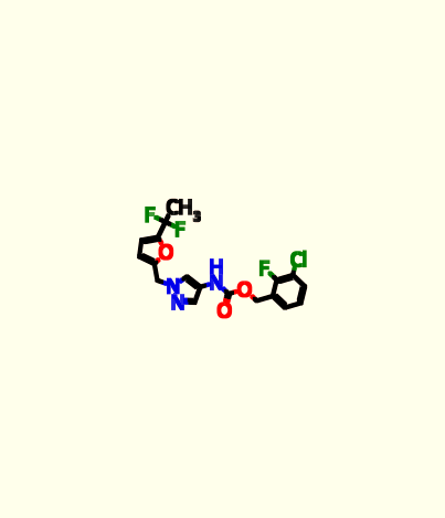 CC(F)(F)c1ccc(Cn2cc(NC(=O)OCc3cccc(Cl)c3F)cn2)o1